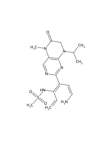 C=C/C(NS(C)(=O)=O)=C(\C=C/N)c1ncc2c(n1)N(C(C)C)CC(=O)N2C